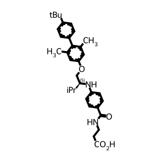 Cc1cc(OC[C@@H](Nc2ccc(C(=O)NCCC(=O)O)cc2)C(C)C)cc(C)c1-c1ccc(C(C)(C)C)cc1